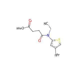 CCCc1csc(N(CC#N)C(=O)CCC(=O)OC)c1